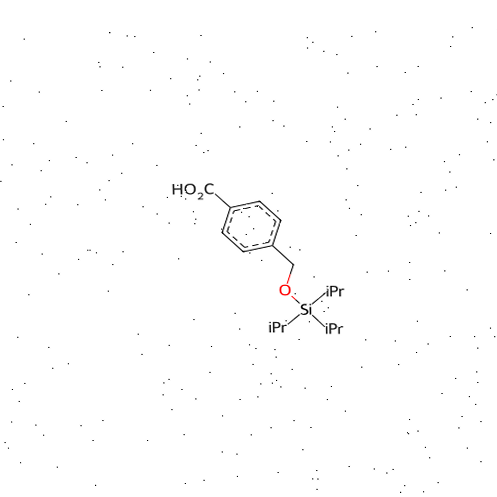 CC(C)[Si](OCc1ccc(C(=O)O)cc1)(C(C)C)C(C)C